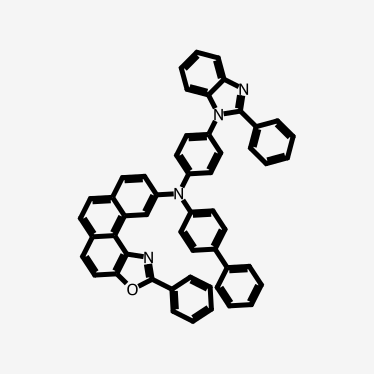 c1ccc(-c2ccc(N(c3ccc(-n4c(-c5ccccc5)nc5ccccc54)cc3)c3ccc4ccc5ccc6oc(-c7ccccc7)nc6c5c4c3)cc2)cc1